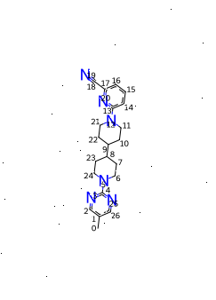 Cc1cnc(N2CCC(C3CCN(c4cccc(C#N)n4)CC3)CC2)nc1